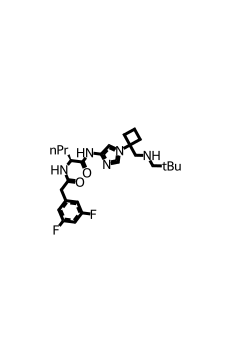 CCC[C@H](NC(=O)Cc1cc(F)cc(F)c1)C(=O)Nc1cn(C2(CNCC(C)(C)C)CCC2)cn1